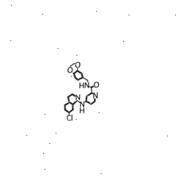 O=C(NCc1ccc2c(c1)OCCO2)c1cc(Nc2nccc3ccc(Cl)cc23)ccn1